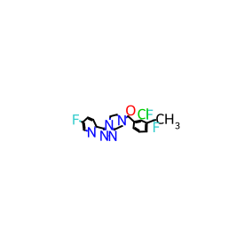 CC(F)(F)c1cccc(C(=O)N2CCn3c(nnc3-c3ccc(F)cn3)C2)c1Cl